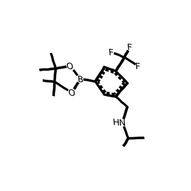 CC(C)NCc1cc(B2OC(C)(C)C(C)(C)O2)cc(C(F)(F)F)c1